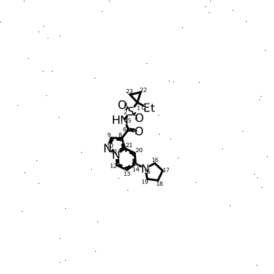 CCC1(S(=O)(=O)NC(=O)c2cnn3ccc(N4CCCC4)cc23)CC1